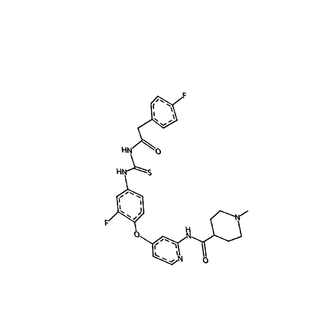 CN1CCC(C(=O)Nc2cc(Oc3ccc(NC(=S)NC(=O)Cc4ccc(F)cc4)cc3F)ccn2)CC1